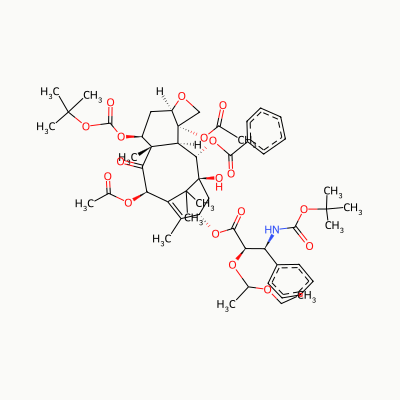 CCOC(C)O[C@@H](C(=O)O[C@H]1C[C@@]2(O)[C@@H](OC(=O)c3ccccc3)[C@@H]3[C@]4(OC(C)=O)CO[C@@H]4C[C@H](OC(=O)OC(C)(C)C)[C@@]3(C)C(=O)[C@H](OC(C)=O)C(=C1C)C2(C)C)[C@@H](NC(=O)OC(C)(C)C)c1ccccc1